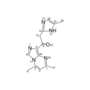 Cc1cc(C)n2cnc(C(=O)Cc3ncc(C)[nH]3)c2n1